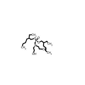 CCCCC(CC)COP(=O)(CN(CCO)CCO)OCC(CC)CCCC